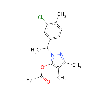 Cc1ccc(C(C)n2nc(C)c(C)c2OC(=O)C(F)(F)F)cc1Cl